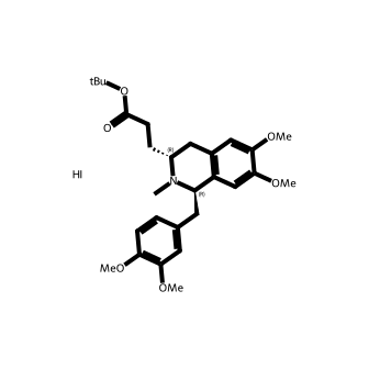 COc1ccc(C[C@@H]2c3cc(OC)c(OC)cc3C[C@@H](CCC(=O)OC(C)(C)C)N2C)cc1OC.I